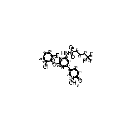 Cn1cc(-c2cc(NS(=O)(=O)CCCC(F)(F)F)nc(Oc3c(F)cccc3Cl)n2)ccc1=O